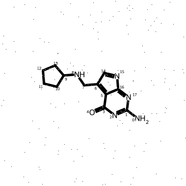 NC1=NC(=O)C2=C(CNC3CCCC3)C=NC2=N1